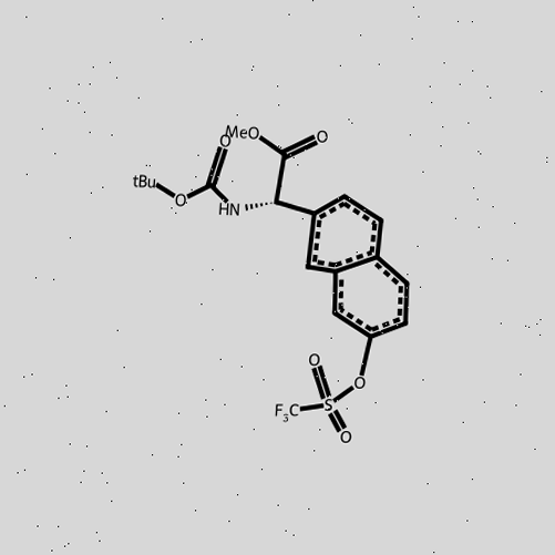 COC(=O)[C@@H](NC(=O)OC(C)(C)C)c1ccc2ccc(OS(=O)(=O)C(F)(F)F)cc2c1